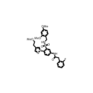 COCCc1cnn(-c2ccc(NC(=O)Cc3ccccc3F)cc2S(=O)(=O)NCc2ccc(OC)cc2OC)c1